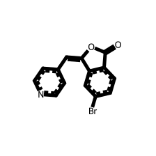 O=C1O/C(=C/c2ccncc2)c2cc(Br)ccc21